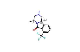 C[C@H]1CNC[C@@H]2c3cccc(C(F)(F)F)c3C(=O)N21